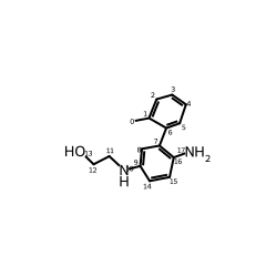 Cc1ccccc1-c1cc(NCCO)ccc1N